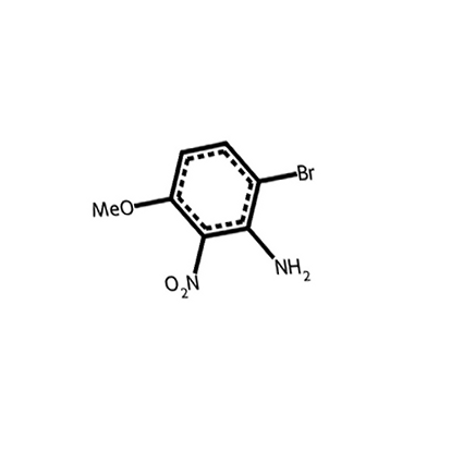 COc1ccc(Br)c(N)c1[N+](=O)[O-]